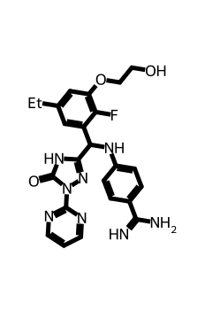 CCc1cc(OCCO)c(F)c(C(Nc2ccc(C(=N)N)cc2)c2nn(-c3ncccn3)c(=O)[nH]2)c1